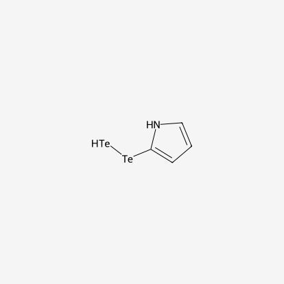 [TeH][Te]c1ccc[nH]1